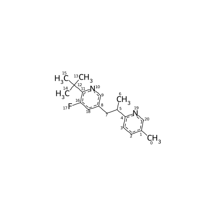 Cc1ccc(C(C)Cc2cnc(C(C)(C)C)c(F)c2)nc1